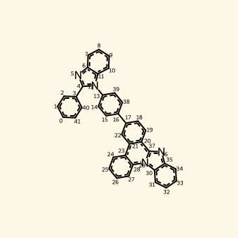 c1ccc(-c2nc3ccccc3n2-c2ccc(-c3ccc4c(c3)c3ccccc3n3c5ccccc5nc43)cc2)cc1